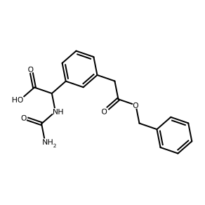 NC(=O)NC(C(=O)O)c1cccc(CC(=O)OCc2ccccc2)c1